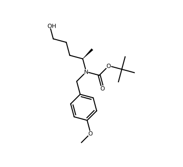 COc1ccc(CN(C(=O)OC(C)(C)C)[C@H](C)CCCO)cc1